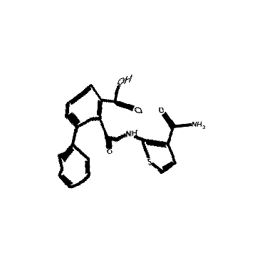 NC(=O)c1ccsc1NC(=O)c1c(C(=O)O)cccc1-c1ccccc1